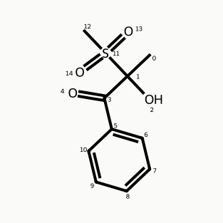 CC(O)(C(=O)c1ccccc1)S(C)(=O)=O